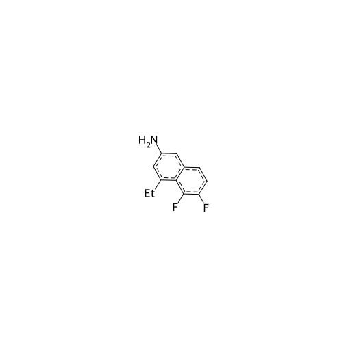 CCc1cc(N)cc2ccc(F)c(F)c12